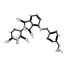 NCc1ccc(COc2cccc3c2C(=O)N(C2CCC(=O)NC2=O)C3=O)cc1